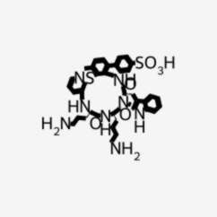 Cc1ccc(-c2ccc(S(=O)(=O)O)cc2)c2c1Sc1ncccc1CN[C@@H](CCCN)C(=O)N[C@@H](CCCCN)C(=O)N(C)[C@@H](Cc1c[nH]c3ccccc13)C(=O)NC2